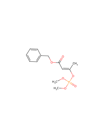 COP(=O)(OC)O/C(C)=C/C(=O)OCc1ccccc1